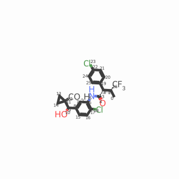 C[C@H]([C@H](C(=O)Nc1cc(C(O)C2(C(=O)O)CC2)ccc1Cl)c1ccc(Cl)cc1)C(F)(F)F